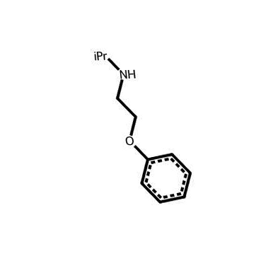 CC(C)NCCOc1ccccc1